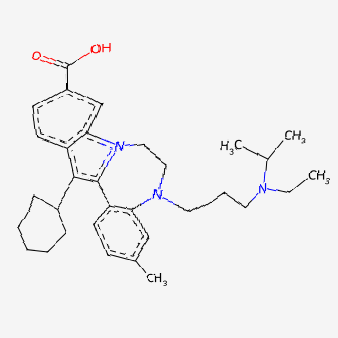 CCN(CCCN1CCn2c(c(C3CCCCC3)c3ccc(C(=O)O)cc32)-c2ccc(C)cc21)C(C)C